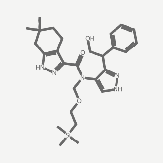 CC1(C)CCc2c(C(=O)N(COCC[Si](C)(C)C)c3c[nH]nc3C(CO)c3ccccc3)n[nH]c2C1